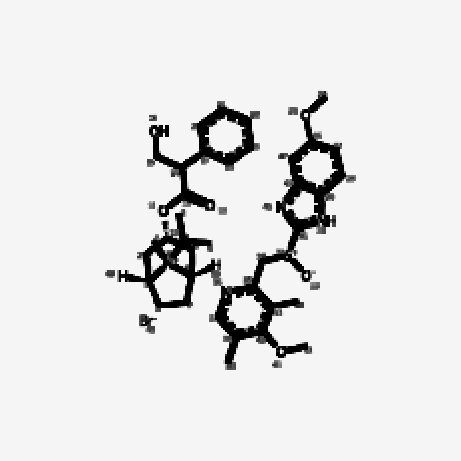 CC(C)[N+]1(C)[C@@H]2CC[C@H]1C[C@@H](OC(=O)C(CO)c1ccccc1)C2.COc1ccc2[nH]c([S+]([O-])Cc3ncc(C)c(OC)c3C)nc2c1.[Br-]